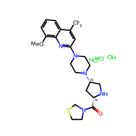 COc1cccc2c(C(F)(F)F)cc(N3CCN([C@@H]4CN[C@H](C(=O)N5CCSC5)C4)CC3)nc12.Cl.Cl.Cl